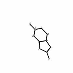 CB1CCC2CC(C)CC2C1